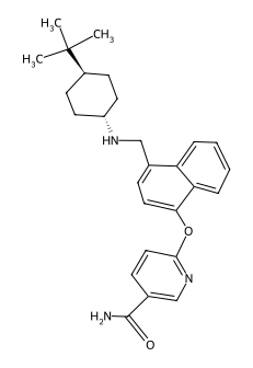 CC(C)(C)[C@H]1CC[C@H](NCc2ccc(Oc3ccc(C(N)=O)cn3)c3ccccc23)CC1